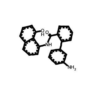 Nc1cccc(-c2ccccc2C(=O)Nc2cccc3cccc(O)c23)c1